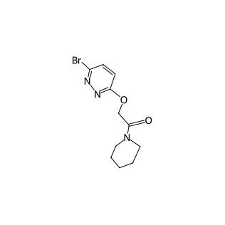 O=C(COc1ccc(Br)nn1)N1CCCCC1